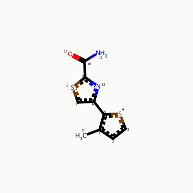 Cc1ccsc1-c1csc(C(N)=O)n1